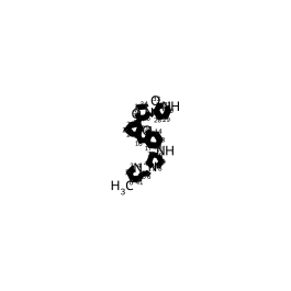 Cc1ccnc(CN2CCC(Nc3ccc4c(c3)Cc3cccc(C5CN(c6ccc[nH]c6=O)CCO5)c3O4)CC2)c1